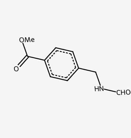 COC(=O)c1ccc(CN[C]=O)cc1